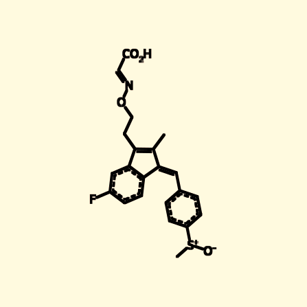 CC1=C(CCON=CC(=O)O)c2cc(F)ccc2C1=Cc1ccc([S+](C)[O-])cc1